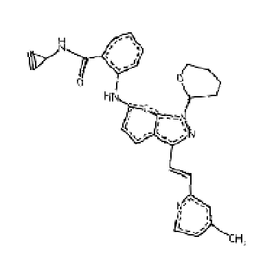 Cc1ccnc(C=Cc2nn(C3CCCCO3)c3cc(Nc4ccccc4C(=O)NC4C#C4)ccc23)c1